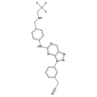 N#CCc1cccc(-n2nnc3cnc(Nc4ccc(CNCC(F)(F)F)cc4)nc32)c1